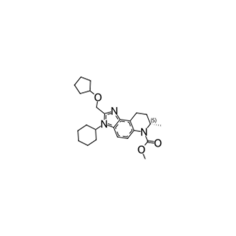 COC(=O)N1c2ccc3c(nc(COC4CCCC4)n3C3CCCCC3)c2CC[C@@H]1C